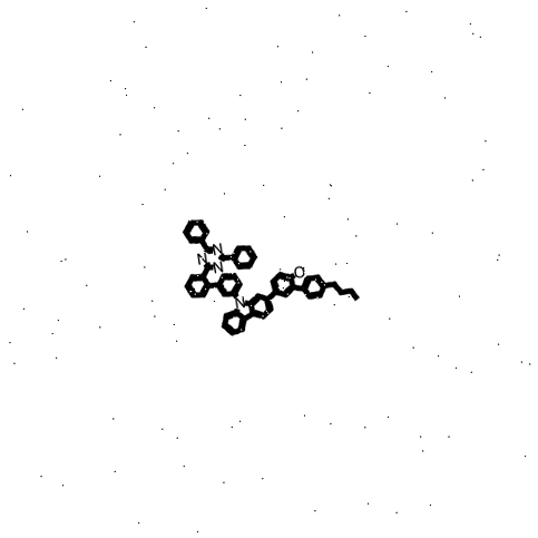 CCCCc1ccc2c(c1)oc1ccc(-c3ccc4c5ccccc5n(-c5cccc(-c6ccccc6-c6nc(-c7ccccc7)nc(-c7ccccc7)n6)c5)c4c3)cc12